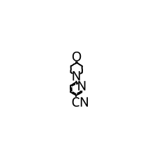 N#Cc1ccc(N2CCC(=O)CC2)nc1